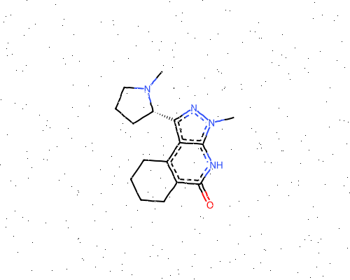 CN1CCC[C@H]1c1nn(C)c2[nH]c(=O)c3c(c12)CCCC3